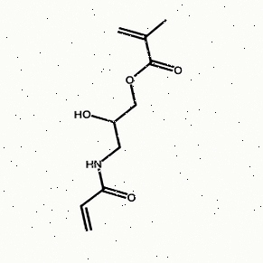 C=CC(=O)NCC(O)COC(=O)C(=C)C